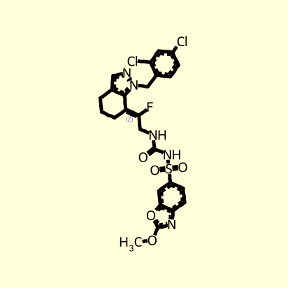 COc1nc2ccc(S(=O)(=O)NC(=O)NC/C(F)=C3\CCCc4cnn(Cc5ccc(Cl)cc5Cl)c43)cc2o1